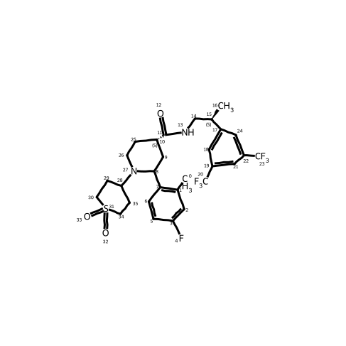 Cc1cc(F)ccc1C1C[C@@H](C(=O)NC[C@@H](C)c2cc(C(F)(F)F)cc(C(F)(F)F)c2)CCN1C1CCS(=O)(=O)CC1